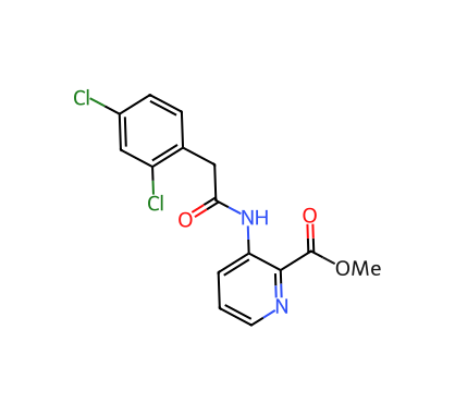 COC(=O)c1ncccc1NC(=O)Cc1ccc(Cl)cc1Cl